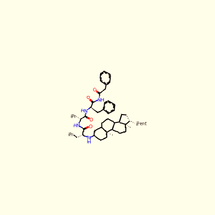 CCC[C@@H](C)[C@H]1CCC2C3CCC4CC(N[C@H](CC(C)C)C(=O)N[C@@H](C(=O)N[C@H](Cc5ccccc5)C(=O)NC(=O)Cc5ccccc5)C(C)C)CC[C@]4(C)C3CC[C@@]21C